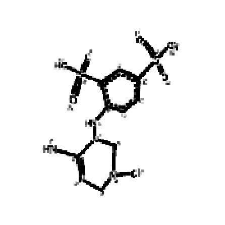 [NH]C1=NCN(Cl)CN1Nc1ccc(S(=O)(=O)O)cc1S(=O)(=O)O